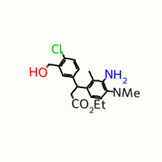 CCOC(=O)CC(c1ccc(Cl)c(CO)c1)c1ccc(NC)c(N)c1C